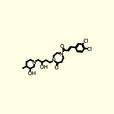 CC1CCN(CC(O)CCN2CCN(C(=O)/C=C/c3ccc(Cl)c(Cl)c3)CCC2=O)CC1O